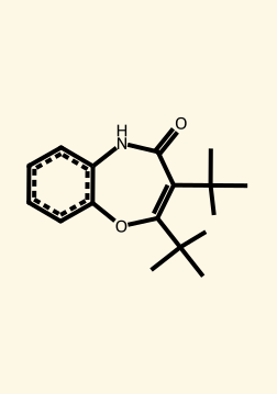 CC(C)(C)C1=C(C(C)(C)C)C(=O)Nc2ccccc2O1